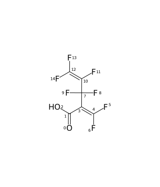 O=C(O)C(=C(F)F)C(F)(F)C(F)=C(F)F